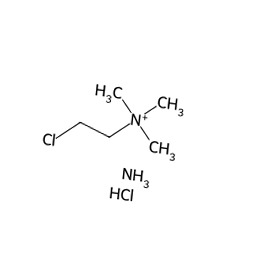 C[N+](C)(C)CCCl.Cl.N